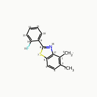 [CH2]c1c(C)ccc2sc(-c3ccccc3F)nc12